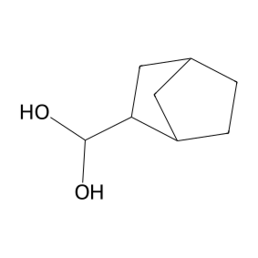 OC(O)C1CC2CCC1C2